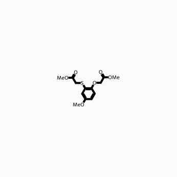 COC(=O)COc1ccc(OC)cc1SCC(=O)OC